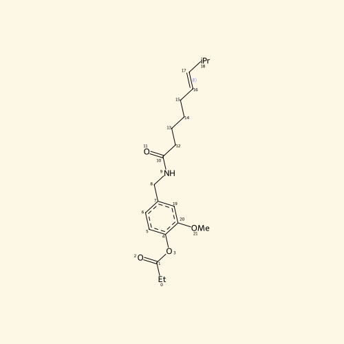 CCC(=O)Oc1ccc(CNC(=O)CCCC/C=C/C(C)C)cc1OC